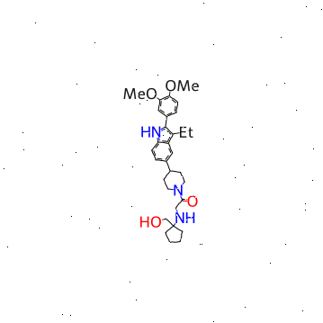 CCc1c(-c2ccc(OC)c(OC)c2)[nH]c2ccc(C3CCN(C(=O)CNC4(CO)CCCC4)CC3)cc12